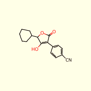 N#Cc1ccc(C2=C(O)C(C3CCCCC3)OC2=O)cc1